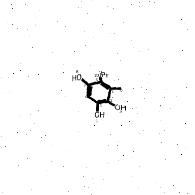 Cc1c(O)c(O)cc(O)c1C(C)C